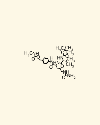 CNC(=O)OCc1ccc(NC(=O)C(CCCNC(N)=O)NC(=O)C(NC(=O)OC(C)(C)C)C(C)C)cc1